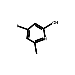 Cc1cc(I)cc(O)n1